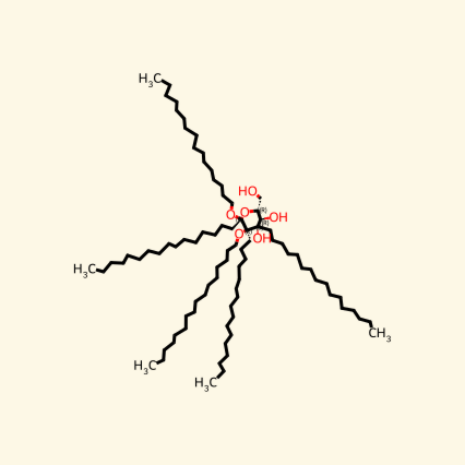 CCCCCCCCCCCCCCCCO[C@]1(CCCCCCCCCCCCCCCC)O[C@H](CO)[C@@H](O)[C@@](O)(CCCCCCCCCCCCCCCC)[C@@]1(CCCCCCCCCCCCCCCC)OCCCCCCCCCCCCCCCC